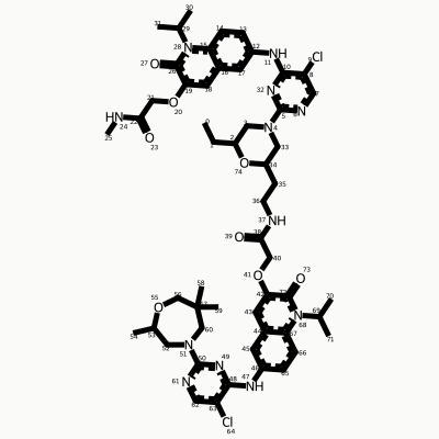 CCC1CN(c2ncc(Cl)c(Nc3ccc4c(c3)cc(OCC(=O)NC)c(=O)n4C(C)C)n2)CC(CCNC(=O)COc2cc3cc(Nc4nc(N5CC(C)OCC(C)(C)C5)ncc4Cl)ccc3n(C(C)C)c2=O)O1